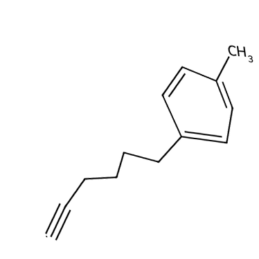 [C]#CCCCCc1ccc(C)cc1